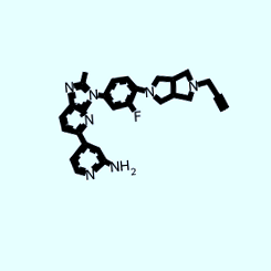 C#CCN1CC2CN(c3ccc(-n4c(C)nc5ccc(-c6ccnc(N)c6)nc54)cc3F)CC2C1